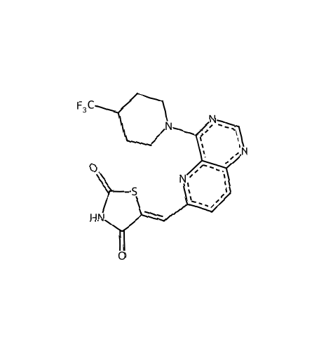 O=C1NC(=O)C(=Cc2ccc3ncnc(N4CCC(C(F)(F)F)CC4)c3n2)S1